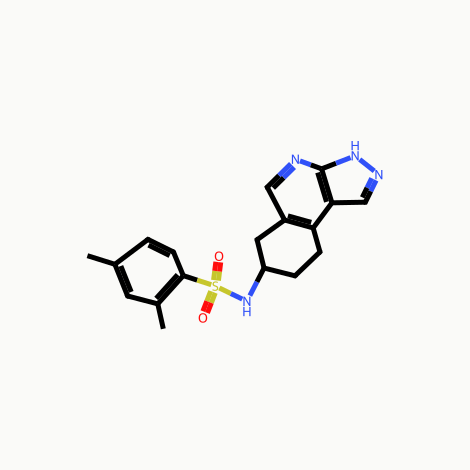 Cc1ccc(S(=O)(=O)NC2CCc3c(cnc4[nH]ncc34)C2)c(C)c1